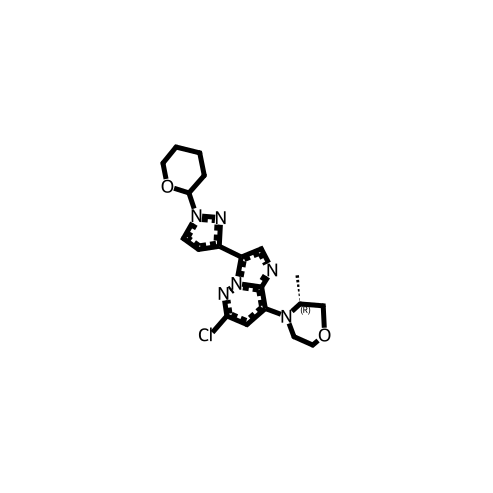 C[C@@H]1COCCN1c1cc(Cl)nn2c(-c3ccn(C4CCCCO4)n3)cnc12